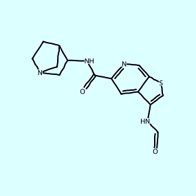 O=CNc1csc2cnc(C(=O)NC3CN4CCC3C4)cc12